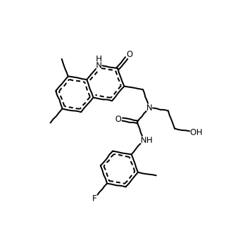 Cc1cc(C)c2[nH]c(=O)c(CN(CCO)C(=O)Nc3ccc(F)cc3C)cc2c1